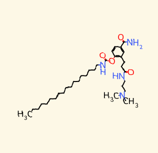 CCCCCCCCCCCCCCCCCCNC(=O)Oc1ccc(C(N)=O)cc1CCC(=O)NCCCN(C)C